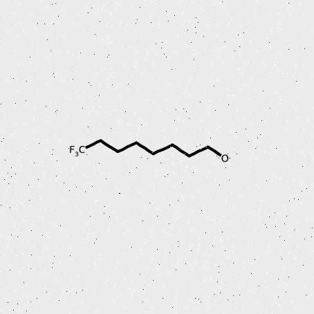 [O]CCCCCCCC(F)(F)F